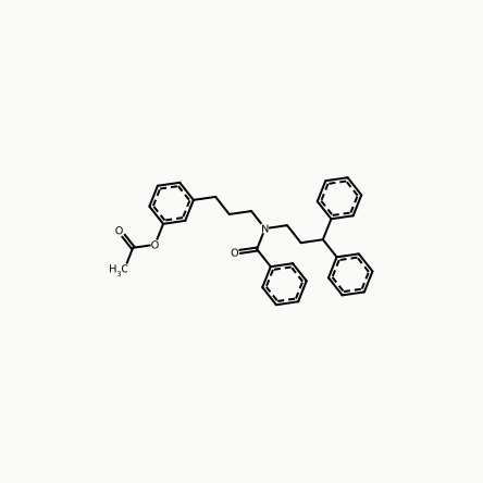 CC(=O)Oc1cccc(CCCN(CCC(c2ccccc2)c2ccccc2)C(=O)c2ccccc2)c1